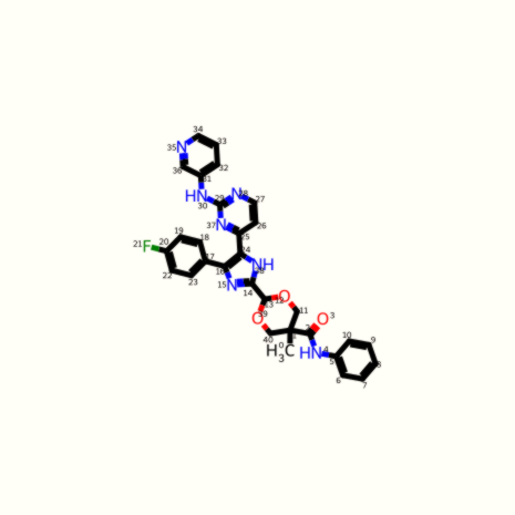 CC1(C(=O)Nc2ccccc2)COC(c2nc(-c3ccc(F)cc3)c(-c3ccnc(Nc4cccnc4)n3)[nH]2)OC1